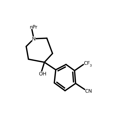 CCCN1CCC(O)(c2ccc(C#N)c(C(F)(F)F)c2)CC1